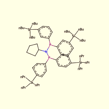 CCCC[Si](CCCC)(CCCC)c1cccc(P(c2cccc([Si](CCCC)(CCCC)CCCC)c2)N(C2CCCC2)P(c2ccc([Si](CCC)(CCC)CCC)cc2)c2ccc([Si](CCC)(CCC)CCC)cc2)c1